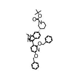 Cn1nc(-c2ccc(OCc3ccccc3)nc2OCc2ccccc2)c2ccc([C@H]3CCCN(C(=O)OC(C)(C)C)C3)cc21